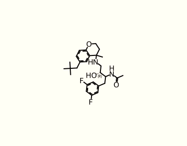 CC(=O)NC(Cc1cc(F)cc(F)c1)[C@H](O)CNC1(C)CCOc2ccc(CC(C)(C)C)cc21